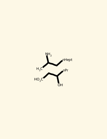 CCCC(O)CC(=O)O.CCCCCCCCC(C)N